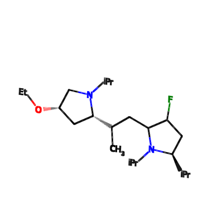 CCO[C@H]1C[C@@H](C(C)CC2C(F)C[C@@H](C(C)C)N2C(C)C)N(C(C)C)C1